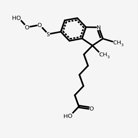 CC1=Nc2ccc(SOOO)cc2C1(C)CCCCCC(=O)O